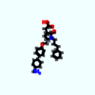 N[C@H]1CC[C@H](c2ccc(OC[C@@H]3C[C@@H](CC(=O)O)C(=O)N3CCCc3ccccc3)cc2)CC1